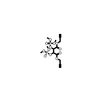 C#CCOC(=O)C(OP(=O)(OC)OC)C(OP(=O)(OC)OC)C(=O)OCC#C